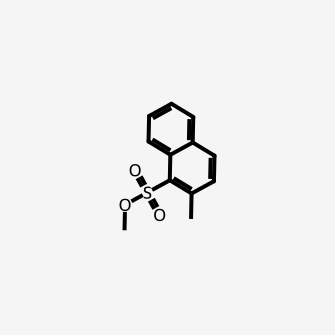 COS(=O)(=O)c1c(C)ccc2ccccc12